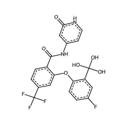 O=C(Nc1cc[nH]c(=O)c1)c1ccc(C(F)(F)F)cc1Oc1ccc(F)cc1C(O)(O)O